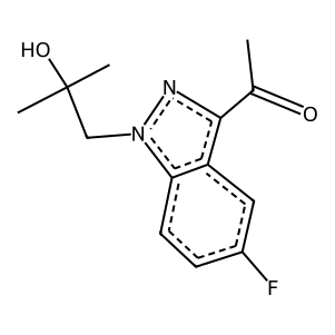 CC(=O)c1nn(CC(C)(C)O)c2ccc(F)cc12